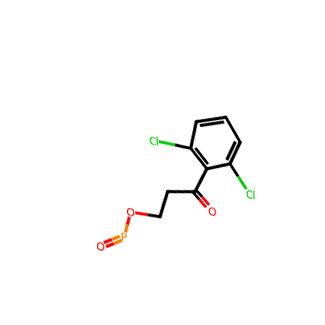 O=POCCC(=O)c1c(Cl)cccc1Cl